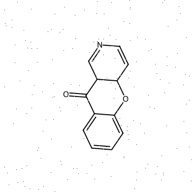 O=C1c2ccccc2OC2C=CN=CC12